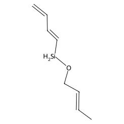 C=CC=C[SiH2]OCC=CC